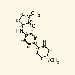 C[C@@H]1CC[C@@H](c2ccc(NC3CCN(C)C3=O)cc2)NC1